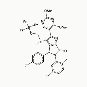 COc1ncc(-c2nc3c(n2[C@H](C)CO[Si](C(C)C)(C(C)C)C(C)C)C(c2ccc(Cl)cc2)N(c2cc(Cl)ccc2C)C3=O)c(OC)n1